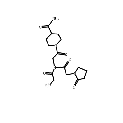 NCC(=O)N(CC(=O)N1CCC(C(N)=O)CC1)C(=O)CN1CCCC1=O